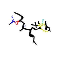 CCC=CC(C=CC(SC)[SH](C)(F)(C(C)(C)C)C(C)(C)CC)/C(C)=C/C(CC)ONC